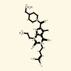 Cc1c(C(=O)N2CCC(CC(=O)O)CC2)sc2c1c(=O)n(CCC=C(F)F)c(=O)n2CCC(F)(F)F